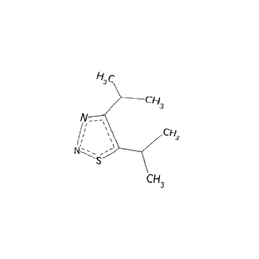 CC(C)c1nnsc1C(C)C